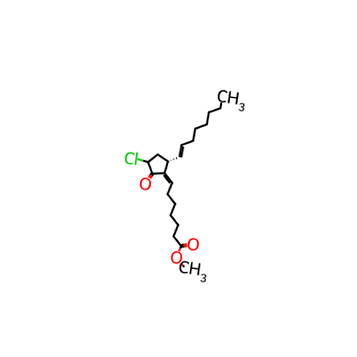 CCCCCC/C=C/[C@H]1CC(Cl)C(=O)/C1=C\CCCCCC(=O)OC